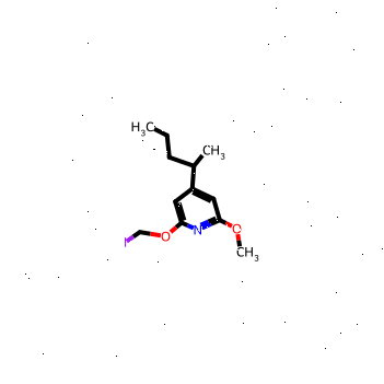 CCCC(C)c1cc(OC)nc(OCI)c1